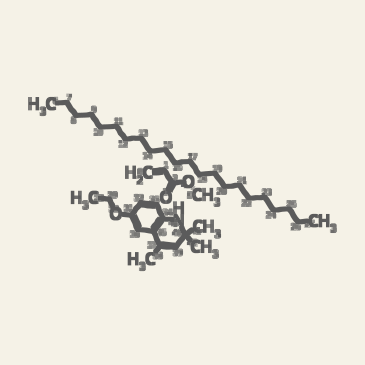 C=CC(=O)OC.CCCCCCCCCCCCCCCCCCCCCC.CCOc1ccc2c(c1)C(C)=CC(C)(C)N2